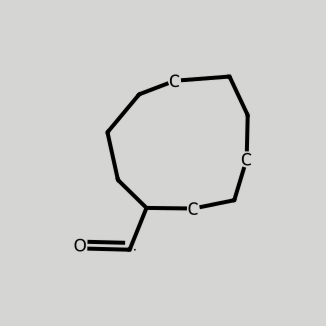 O=[C]C1CCCCCCCCC1